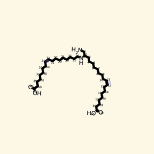 NCC(CCCCCCCC/C=C\CCCCCCCC(=O)O)NCCCCCCCC/C=C\CCCCCCCC(=O)O